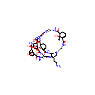 NCCCCC1CN2CCNC(=O)C3=CCCC(C(=O)NCCN(CCNC(=O)C4CCC=C(C(=O)N1)[C@H]4O)CCN1CCNC(=O)C4CCC=C(C(=O)NCCN(CCNC(=O)C5=CCCC(C1=O)[C@@H]5O)CC2)[C@@H]4O)[C@H]3O